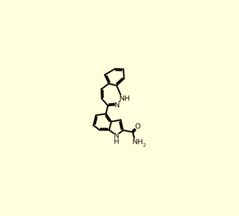 NC(=O)c1cc2c(C3=NNc4ccccc4C=C3)cccc2[nH]1